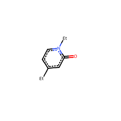 CCc1ccn(CC)c(=O)c1